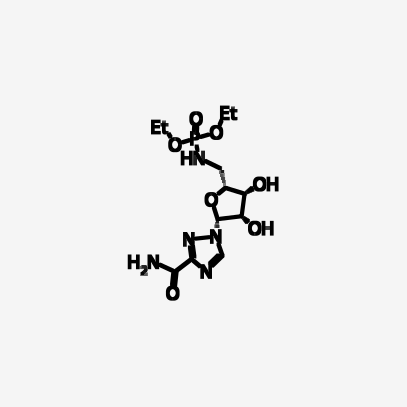 CCOP(=O)(NC[C@H]1O[C@@H](n2cnc(C(N)=O)n2)[C@H](O)[C@@H]1O)OCC